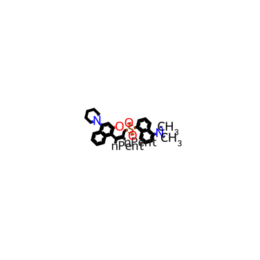 CCCCCC1=C(CCCCC)C(S(=O)(=O)c2cccc3c(N(C)C)cccc23)Oc2cc(N3CCCCC3)c3ccccc3c21